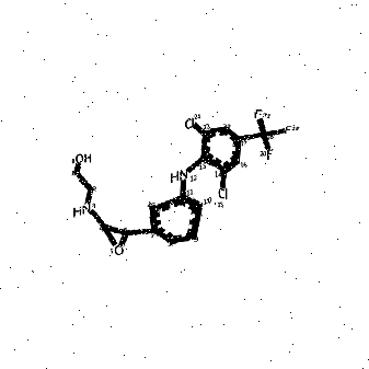 OCCNC1OC1c1cccc(Nc2c(Cl)cc(C(F)(F)F)cc2Cl)c1